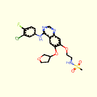 CS(=O)(=O)NCCOc1cc2ncnc(Nc3ccc(F)c(Cl)c3)c2cc1OC1CCOC1